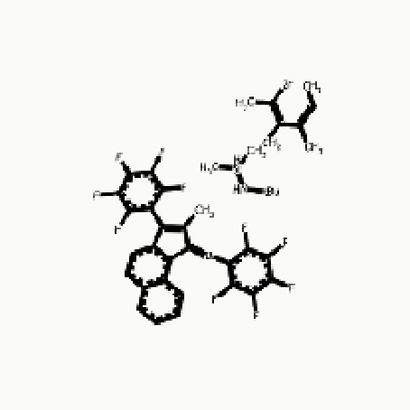 CC1=C(c2c(F)c(F)c(F)c(F)c2F)c2ccc3ccccc3c2C1=Bc1c(F)c(F)c(F)c(F)c1F.CC=C(C)C(C)=[C](C)[Zr].C[SiH](C)NC(C)(C)C